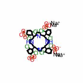 O=S(=O)([O-])c1ccc(Cl)c(-c2c3nc(c(-c4c(Cl)ccc(S(=O)(=O)[O-])c4Cl)c4ccc([nH]4)c(-c4c(Cl)ccc(S(=O)(=O)[O-])c4Cl)c4nc(c(-c5c(Cl)ccc(S(=O)(=O)[O-])c5Cl)c5ccc2[nH]5)C=C4)C=C3)c1Cl.[Na+].[Na+].[Na+].[Na+]